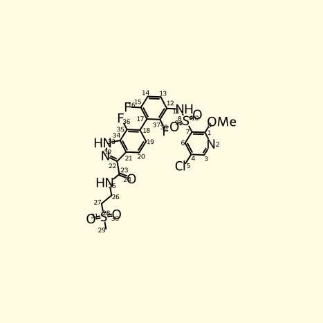 COc1ncc(Cl)cc1S(=O)(=O)Nc1ccc(F)c(-c2ccc3c(C(=O)NCCS(C)(=O)=O)n[nH]c3c2F)c1F